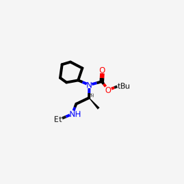 CCNC[C@H](C)N(C(=O)OC(C)(C)C)C1CCCCC1